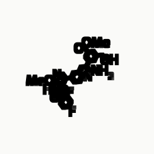 COC(=O)c1cc(CO)cc(-c2cc3cc(-c4cnc(OC)c(NS(=O)(=O)c5ccc(F)cc5F)c4)ccc3nc2N)c1